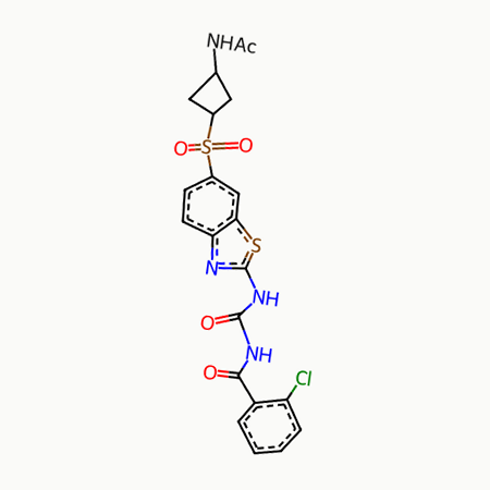 CC(=O)NC1CC(S(=O)(=O)c2ccc3nc(NC(=O)NC(=O)c4ccccc4Cl)sc3c2)C1